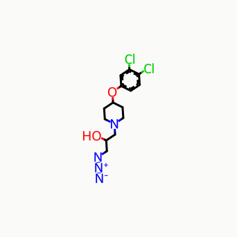 [N-]=[N+]=NCC(O)CN1CCC(Oc2ccc(Cl)c(Cl)c2)CC1